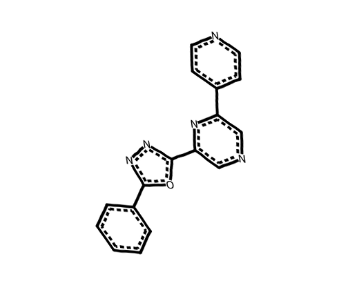 c1ccc(-c2nnc(-c3cncc(-c4ccncc4)n3)o2)cc1